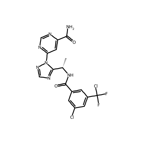 C[C@H](NC(=O)c1cc(Cl)cc(C(F)(F)Cl)c1)c1ncnn1-c1cc(C(N)=O)ncn1